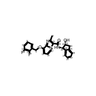 Cc1nc2c(OCc3cccc(F)c3F)cccn2c1C(=O)N[C@@H]1c2ccccc2C[C@@H]1O